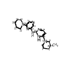 C[C@@H]1CCCN(C2=CC=NC(Nc3cncc(N4CCCCC4)n3)N2)C1